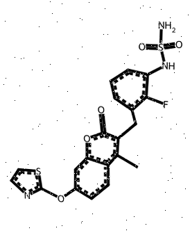 Cc1c(Cc2cccc(NS(N)(=O)=O)c2F)c(=O)oc2cc(Oc3nccs3)ccc12